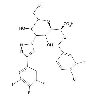 O=C(O)[C@@H](OCc1ccc(Cl)c(F)c1)[C@@H]1OC(CO)[C@H](O)C(n2cc(-c3cc(F)c(F)c(F)c3)nn2)C1O